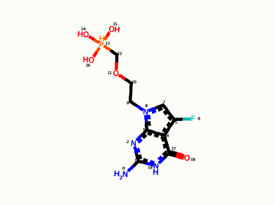 Nc1nc2c(c(F)cn2CCOC[PH](O)(O)O)c(=O)[nH]1